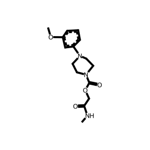 CNC(=O)COC(=O)N1CCN(c2cccc(OC)c2)CC1